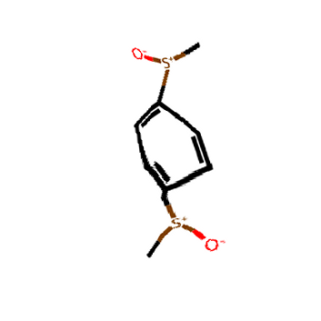 C[S+]([O-])c1ccc([S+](C)[O-])cc1